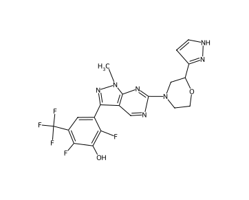 Cn1nc(-c2cc(C(F)(F)F)c(F)c(O)c2F)c2cnc(N3CCOC(c4cc[nH]n4)C3)nc21